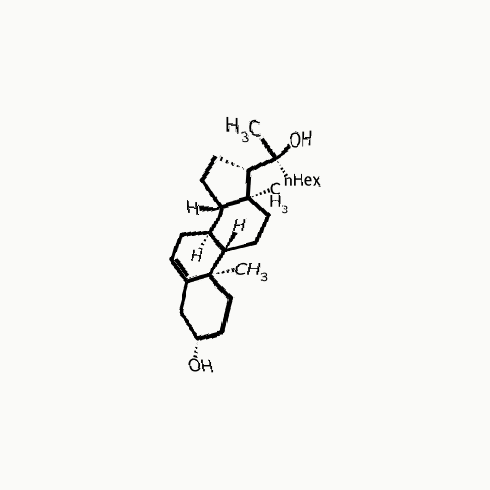 CCCCCC[C@](C)(O)[C@H]1CC[C@H]2[C@@H]3CC=C4C[C@@H](O)CC[C@]4(C)[C@H]3CC[C@@]21C